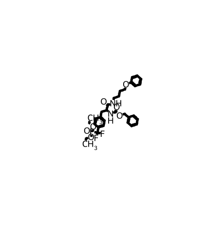 CCOP(=O)(OCC)C(F)(F)c1ccc(CC(NC(=O)OCc2ccccc2)C(=O)NCCCCOc2ccccc2)cc1